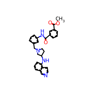 COC(=O)c1cccc(C(=O)Nc2cccc(CN3CCC(Nc4cccc5cnccc45)C3)c2)c1